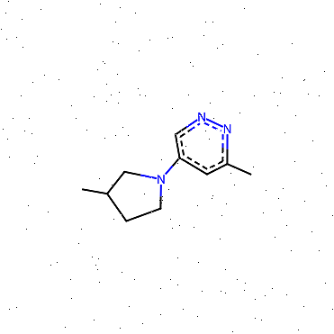 Cc1cc(N2CCC(C)C2)cnn1